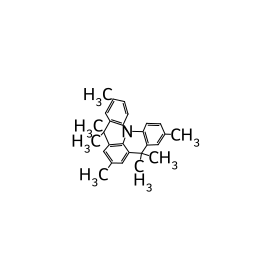 Cc1ccc2c(c1)C(C)(C)c1cc(C)cc3c1N2c1ccc(C)cc1C3(C)C